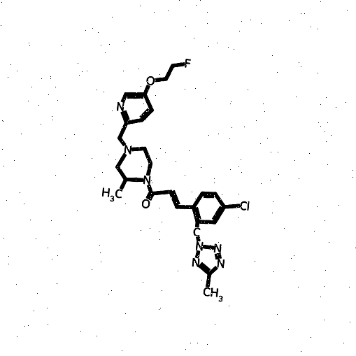 Cc1nnn(Cc2cc(Cl)ccc2C=CC(=O)N2CCN(Cc3ccc(OCCF)cn3)CC2C)n1